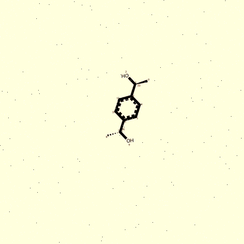 C[C@H](O)c1ccc([C@@H](C)O)cc1